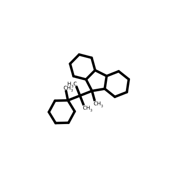 CC1(C(C)(C)C2(C)C3CCCCC3C3CCCCC32)CCCCC1